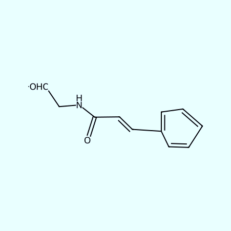 O=[C]CNC(=O)/C=C/c1ccccc1